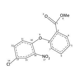 COC(=O)c1ccccc1Oc1ccc(Cl)cc1[N+](=O)[O-]